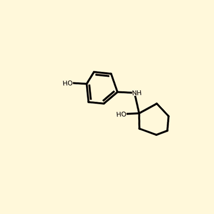 Oc1ccc(NC2(O)CCCCC2)cc1